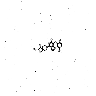 Cc1nc(N2CCC3(CC2)CO[C@@H](C)[C@H]3N)n2ccnc2c1Sc1cc(N)ncc1Cl